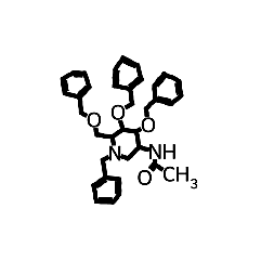 CC(=O)NC1CN(Cc2ccccc2)C(COCc2ccccc2)C(OCc2ccccc2)C1OCc1ccccc1